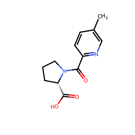 Cc1ccc(C(=O)N2CCC[C@H]2C(=O)O)nc1